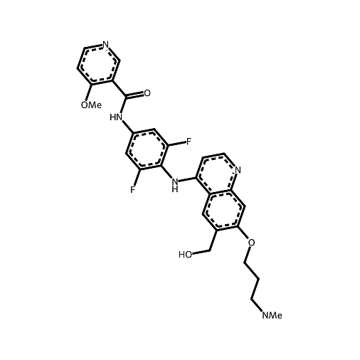 CNCCCOc1cc2nccc(Nc3c(F)cc(NC(=O)c4cnccc4OC)cc3F)c2cc1CO